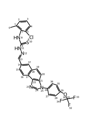 Cc1cccc(Cl)c1NC(=S)NN=Cc1ccc2c(ccc3c2ncn3-c2ccc(OC(F)(F)F)cc2)c1